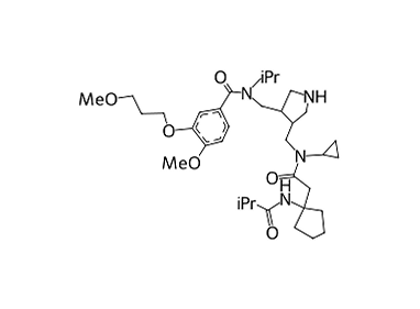 COCCCOc1cc(C(=O)N(CC2CNCC2CN(C(=O)CC2(NC(=O)C(C)C)CCCC2)C2CC2)C(C)C)ccc1OC